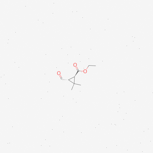 CCOC(=O)[C@@H]1[C@@H](C=O)C1(C)C